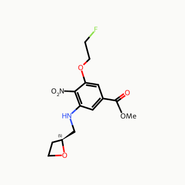 COC(=O)c1cc(NC[C@@H]2CCO2)c([N+](=O)[O-])c(OCCF)c1